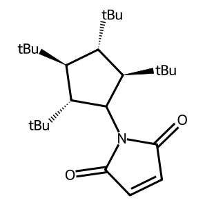 CC(C)(C)[C@H]1[C@H](C(C)(C)C)[C@@H](C(C)(C)C)C(N2C(=O)C=CC2=O)[C@@H]1C(C)(C)C